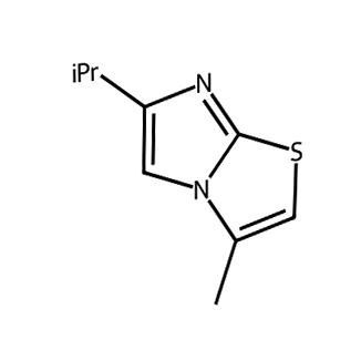 Cc1csc2nc(C(C)C)cn12